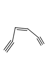 C#C/C=C\C#C